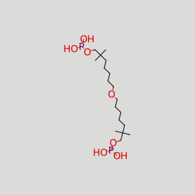 CC(C)(CCCCCOCCCCCC(C)(C)COP(O)O)COP(O)O